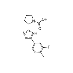 Cc1ccc(-c2cnc([C@@H]3CCCN3C(=O)O)[nH]2)cc1F